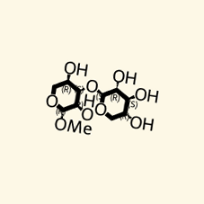 CO[C@@H]1OC[C@@H](O)[C@H](O[C@@H]2OC[C@@H](O)[C@H](O)[C@H]2O)[C@H]1O